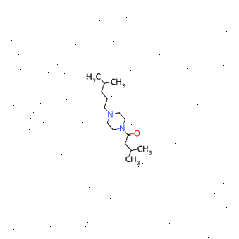 CC(C)CCCN1CCN(C(=O)CC(C)C)CC1